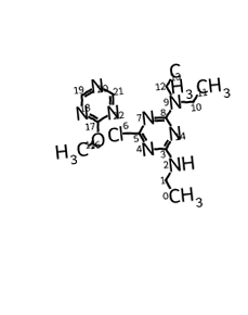 CCNc1nc(Cl)nc(N(CC)CC)n1.COc1ncncn1